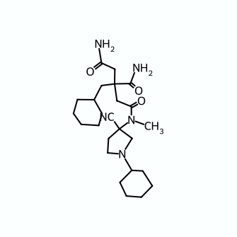 CN(C(=O)CC(CC(N)=O)(CC1CCCCC1)C(N)=O)C1(C#N)CCN(C2CCCCC2)C1